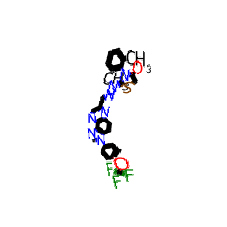 Cc1cccc(C)c1N1C(=O)CSC1=NN=Cc1cnc2c(ccc3c2ncn3-c2ccc(OC(F)(F)F)cc2)n1